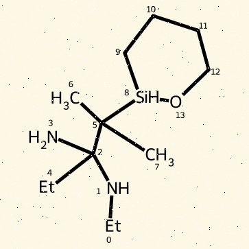 CCNC(N)(CC)C(C)(C)[SiH]1CCCCO1